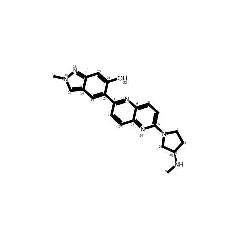 CN[C@@H]1CCN(c2ccc3nc(-c4cc5cn(C)nc5cc4O)ccc3n2)C1